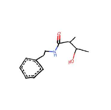 CC(O)C(C)C(=O)NCc1ccccc1